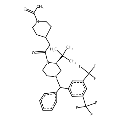 CC(=O)N1CCC(CC(=O)N2CCN(C(c3ccccc3)c3cc(C(F)(F)F)cc(C(F)(F)F)c3)C[C@@H]2C(C)(C)C)CC1